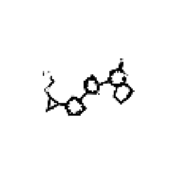 CCOC1CC1c1cccc(-c2ccc(-c3cc(=O)oc4c3CCC=C4)s2)c1